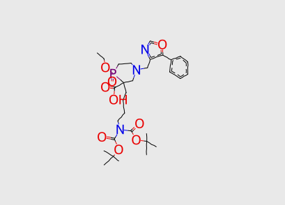 CCOP1(=O)CCN(Cc2ncoc2-c2ccccc2)CC1(CCCCN(C(=O)OC(C)(C)C)C(=O)OC(C)(C)C)C(=O)O